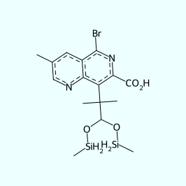 C[SiH2]OC(O[SiH2]C)C(C)(C)c1c(C(=O)O)nc(Br)c2cc(C)cnc12